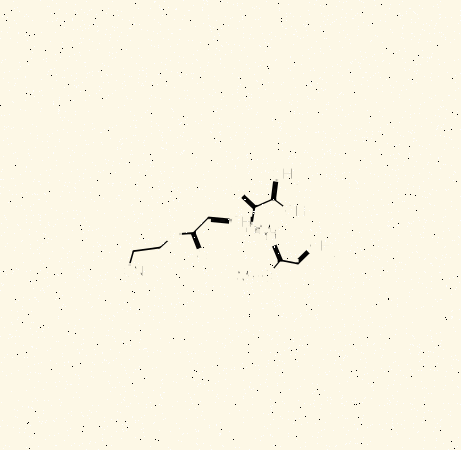 C=C(C)C(=O)OC.C=CC(=O)OC.C=CC(=O)OCCC#N